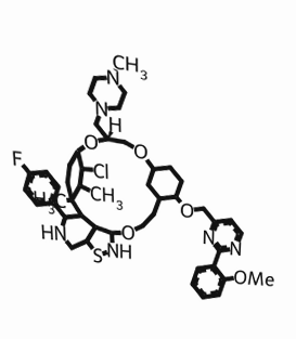 COc1ccccc1-c1nccc(COC2CCC3CC2CCOC2NSC4CNC(c5ccc(F)cc5)C(C24)C2(C)CCC(O[C@H](CN4CCN(C)CC4)CO3)C(Cl)C2C)n1